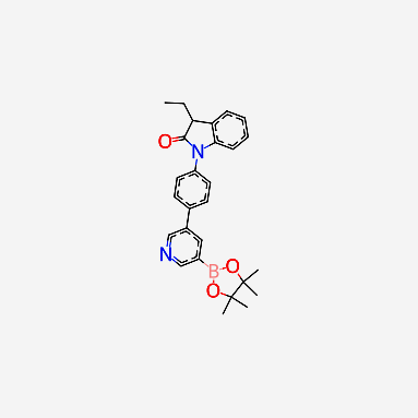 CCC1C(=O)N(c2ccc(-c3cncc(B4OC(C)(C)C(C)(C)O4)c3)cc2)c2ccccc21